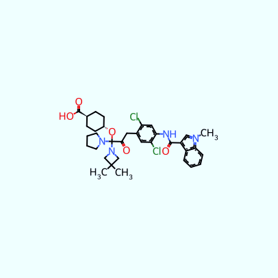 Cn1cc(C(=O)Nc2cc(Cl)c(CC(=O)C(O[C@H]3CC[C@H](C(=O)O)CC3)(N3CCCC3)N3CC(C)(C)C3)cc2Cl)c2ccccc21